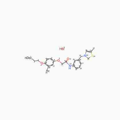 Br.CCCCCCCCCCCCOc1ccc(OCC(=O)Nc2cccc(CN3C=C(C)SC3)c2)cc1C(C)=O